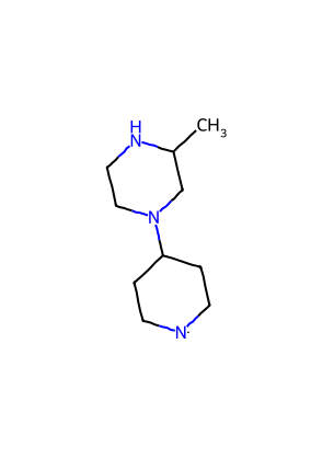 CC1CN(C2CC[N]CC2)CCN1